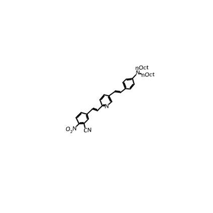 CCCCCCCCN(CCCCCCCC)c1ccc(C=Cc2ccc(C=Cc3ccc([N+](=O)[O-])c(C#N)c3)nc2)cc1